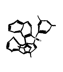 Cc1cc(C)cc(P(=O)(c2cc(C)cc(C)c2)c2ccc3ccccc3c2-c2cccc3ccccc23)c1